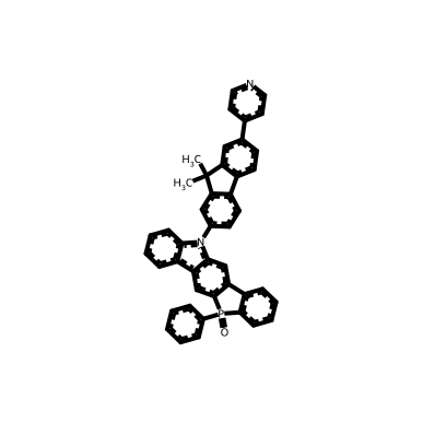 CC1(C)c2cc(-c3ccncc3)ccc2-c2ccc(-n3c4ccccc4c4cc5c(cc43)-c3ccccc3P5(=O)c3ccccc3)cc21